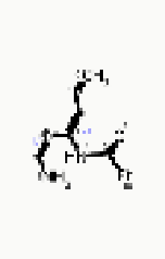 C=C/C=C(\N=C/N)NC(=O)CC